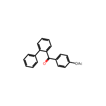 CC(=O)Oc1ccc(C(=O)c2ccccc2-c2ccccc2)cc1